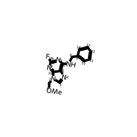 COCn1cnc2c(NCc3ccccc3)nc(F)nc21